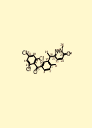 Cc1ccc(C(=O)c2c(Cl)cc(Cl)cc2Cl)cc1C(C)c1ccc(=O)n(C)n1